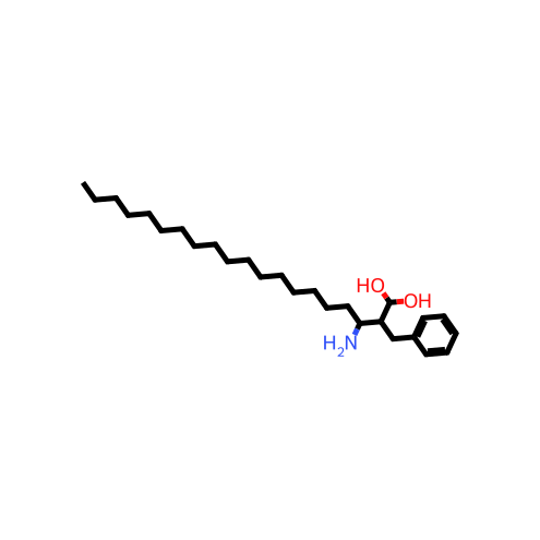 CCCCCCCCCCCCCCCCCC(N)C(Cc1ccccc1)C(O)O